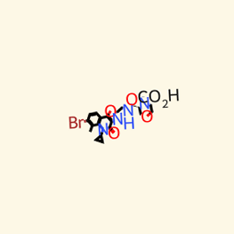 Cc1c(Br)ccc2c3oc(CNC(=O)[C@H]4COCCN4C(=O)O)nc3c(=O)n(C3CC3)c12